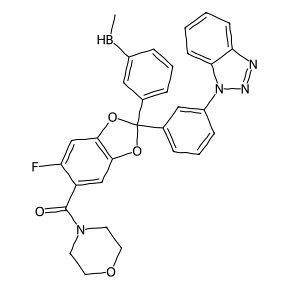 CBc1cccc(C2(c3cccc(-n4nnc5ccccc54)c3)Oc3cc(F)c(C(=O)N4CCOCC4)cc3O2)c1